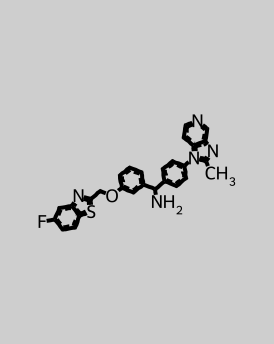 Cc1nc2cnccc2n1-c1ccc(C(N)c2cccc(OCc3nc4cc(F)ccc4s3)c2)cc1